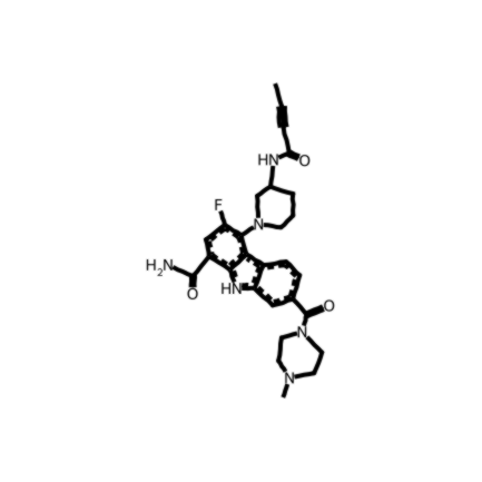 CC#CC(=O)NC1CCCN(c2c(F)cc(C(N)=O)c3[nH]c4cc(C(=O)N5CCN(C)CC5)ccc4c23)C1